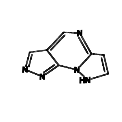 c1cc2ncc3cnnc-3n2[nH]1